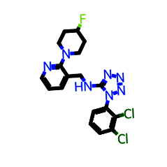 FC1CCN(c2ncccc2CNc2nnnn2-c2cccc(Cl)c2Cl)CC1